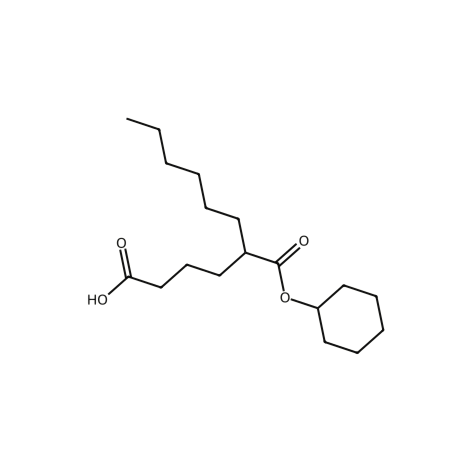 CCCCCCC(CCCC(=O)O)C(=O)OC1CCCCC1